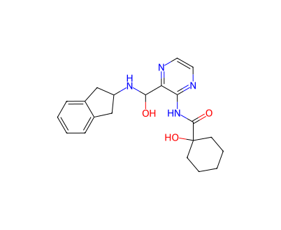 O=C(Nc1nccnc1C(O)NC1Cc2ccccc2C1)C1(O)CCCCC1